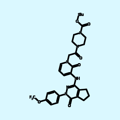 CC(C)(C)OC(=O)N1CCN(C(=O)Cn2cccc(Nc3nn(-c4ccc(OC(F)(F)F)cc4)c(=O)c4c3CCC4)c2=O)CC1